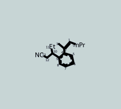 CCC/C=C(/C)c1ccccc1C(CC)CC#N